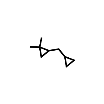 CC1(C)C[C]1CC1CC1